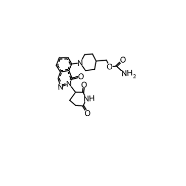 NC(=O)OCC1CCN(c2cccc3cnn(C4CCC(=O)NC4=O)c(=O)c23)CC1